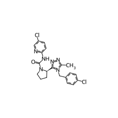 Cc1nnc([C@H]2CCCN2C(=O)Nc2ccc(Cl)cn2)n1Cc1ccc(Cl)cc1